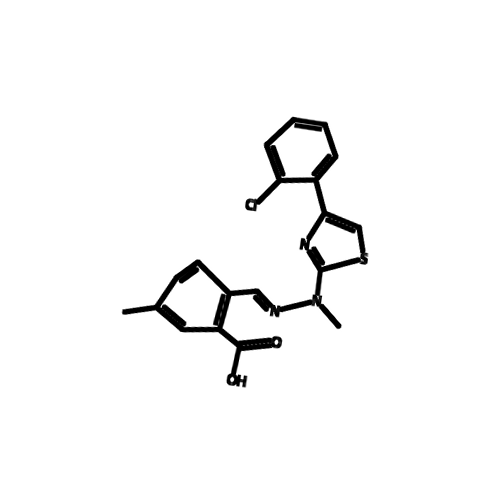 Cc1ccc(C=NN(C)c2nc(-c3ccccc3Cl)cs2)c(C(=O)O)c1